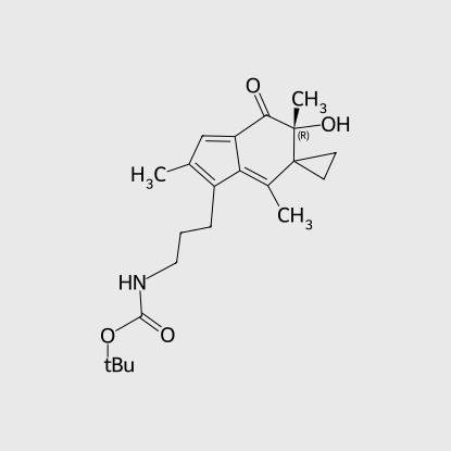 CC1=C(CCCNC(=O)OC(C)(C)C)C2=C(C)C3(CC3)[C@@](C)(O)C(=O)C2=C1